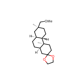 COC[C@@]1(C)CC[C@H]2[C@@H](CC[C@@H]3CC4(CC[C@@]32C)OCCO4)C1